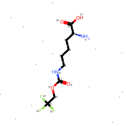 N[C@@H](CCCCNC(=O)OCC(F)(F)F)C(=O)O